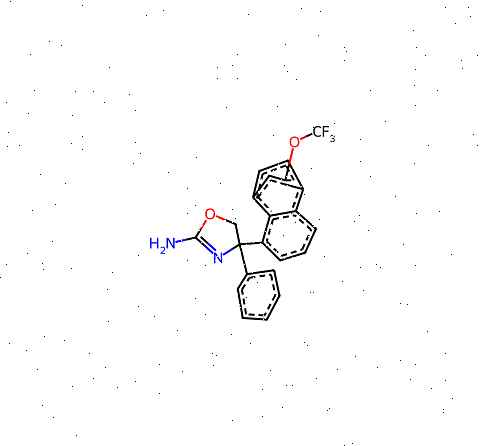 NC1=NC(c2ccccc2)(c2cccc3c4ccc(cc4OC(F)(F)F)c23)CO1